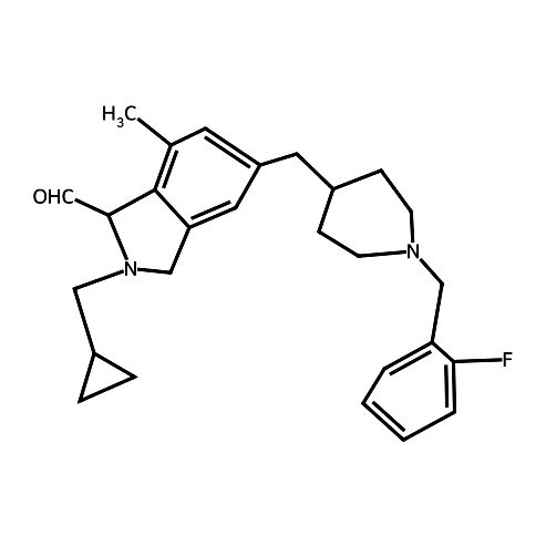 Cc1cc(CC2CCN(Cc3ccccc3F)CC2)cc2c1C(C=O)N(CC1CC1)C2